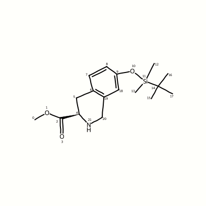 COC(=O)[C@H]1Cc2ccc(O[Si](C)(C)C(C)(C)C)cc2CN1